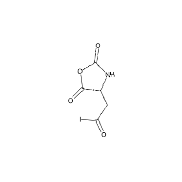 O=C(I)CC1NC(=O)OC1=O